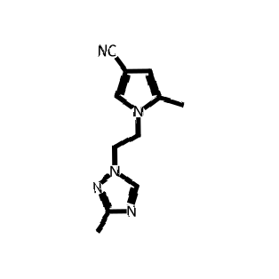 Cc1ncn(CCn2cc(C#N)cc2C)n1